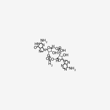 Nc1nc2c(ncn2[C@@H]2O[C@@H]3COP(=O)(O)OC4C(O)[C@H](n5cnc6c(N)ncnc65)O[C@@H]4COP(N)(=O)OC2C3O)c(=O)[nH]1